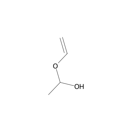 C=COC(C)O